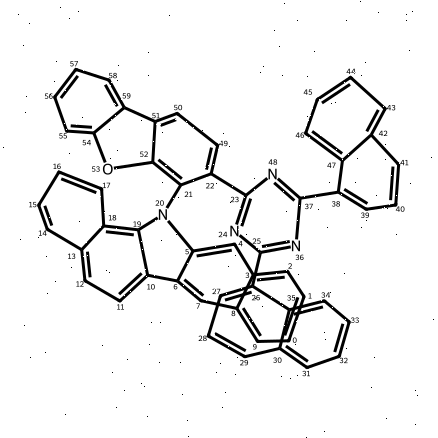 c1ccc2cc3c(cc2c1)c1ccc2ccccc2c1n3-c1c(-c2nc(-c3cccc4ccccc34)nc(-c3cccc4ccccc34)n2)ccc2c1oc1ccccc12